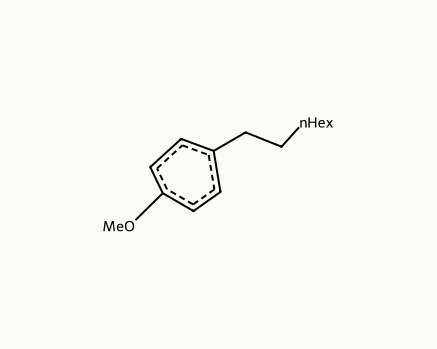 [CH2]Oc1ccc(CCCCCCCC)cc1